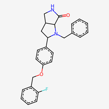 O=C1NCC2CC(c3ccc(OCc4ccccc4F)cc3)N(Cc3ccccc3)C12